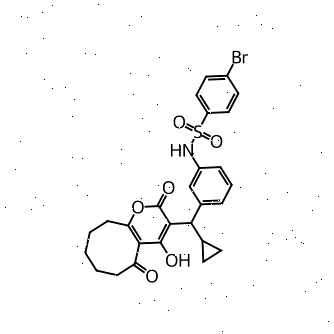 O=C1CCCCCc2oc(=O)c(C(c3cccc(NS(=O)(=O)c4ccc(Br)cc4)c3)C3CC3)c(O)c21